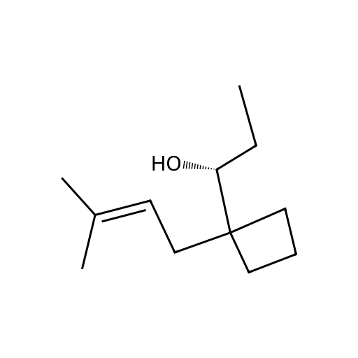 CC[C@@H](O)C1(CC=C(C)C)CCC1